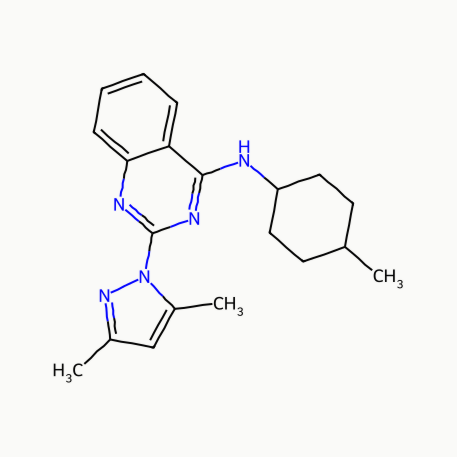 Cc1cc(C)n(-c2nc(NC3CCC(C)CC3)c3ccccc3n2)n1